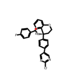 O=C(N[C@]1(c2ccc(-c3cnc(Cl)nc3)cc2)CCOc2cccnc21)c1ccc(F)cc1